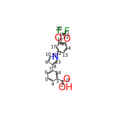 O=C(O)c1cccc(-c2ccn(-c3ccc4c(c3)OC(F)(F)O4)c2)c1